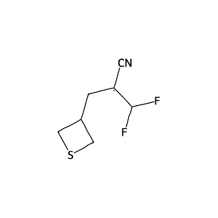 N#C[C](CC1CSC1)C(F)F